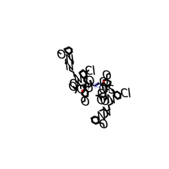 COc1ccc([C@@]2(OC(=O)/C=C/C(=O)O[C@]3(c4ccc(OC)cc4)Sc4cc(Cl)ccc4N(CCCN4CCN(c5ccccc5OC)CC4)C(=O)C3OC(C)=O)Sc3cc(Cl)ccc3N(CCCN3CCN(c4ccccc4OC)CC3)C(=O)C2OC(C)=O)cc1